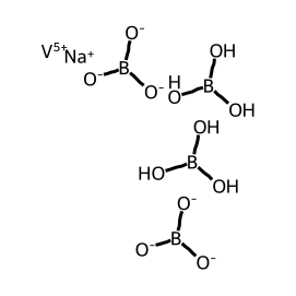 OB(O)O.OB(O)O.[Na+].[O-]B([O-])[O-].[O-]B([O-])[O-].[V+5]